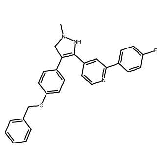 CN1CC(c2ccc(OCc3ccccc3)cc2)=C(c2ccnc(-c3ccc(F)cc3)c2)N1